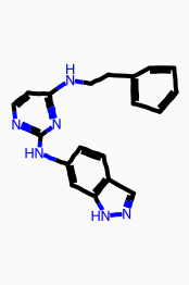 c1ccc(CCNc2ccnc(Nc3ccc4cn[nH]c4c3)n2)cc1